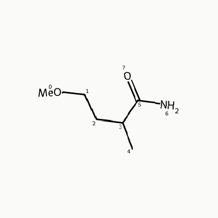 COCCC(C)C(N)=O